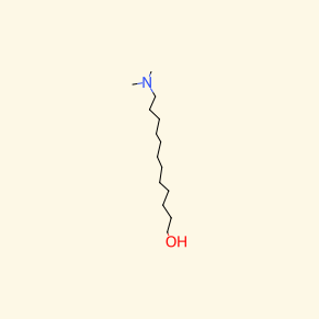 CN(C)CCCCCCCCCCCCO